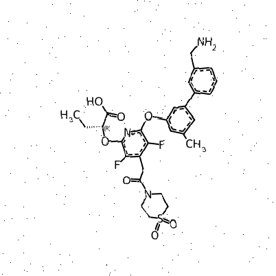 CC[C@@H](Oc1nc(Oc2cc(C)cc(-c3cccc(CN)c3)c2)c(F)c(CC(=O)N2CCS(=O)(=O)CC2)c1F)C(=O)O